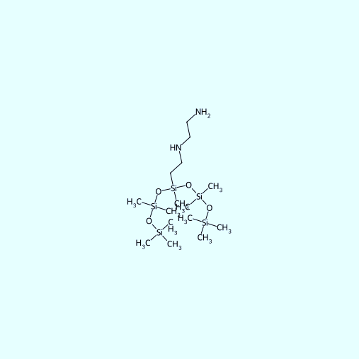 C[Si](C)(C)O[Si](C)(C)O[Si](C)(CCNCCN)O[Si](C)(C)O[Si](C)(C)C